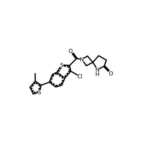 Cc1ccsc1-c1ccc2c(Cl)c(C(=O)N3CC4(CCC(=O)N4)C3)sc2c1